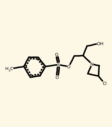 Cc1ccc(S(=O)(=O)OCC(CO)N2CC(Cl)C2)cc1